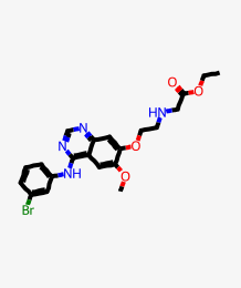 CCOC(=O)CNCCOc1cc2ncnc(Nc3cccc(Br)c3)c2cc1OC